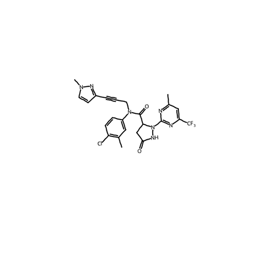 Cc1cc(C(F)(F)F)nc(N2NC(=O)CC2C(=O)N(CC#Cc2ccn(C)n2)c2ccc(Cl)c(C)c2)n1